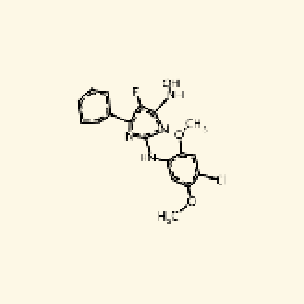 COc1cc(Nc2nc(NO)c(F)c(-c3ccccc3)n2)c(OC)cc1Cl